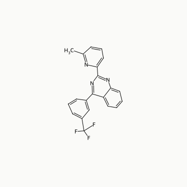 Cc1cccc(-c2nc(-c3cccc(C(F)(F)F)c3)c3ccccc3n2)n1